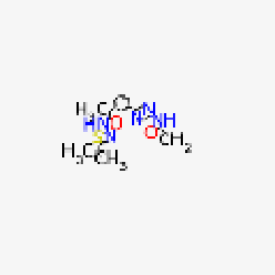 C=CC(=O)Nc1cnc(-c2cccc([C@H](C)C(=O)Nc3ncc(C(C)C)s3)c2)cn1